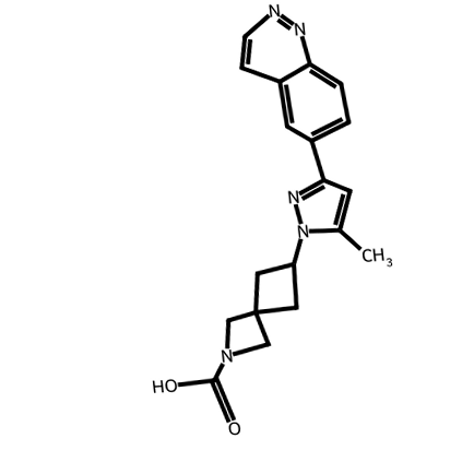 Cc1cc(-c2ccc3nnccc3c2)nn1C1CC2(C1)CN(C(=O)O)C2